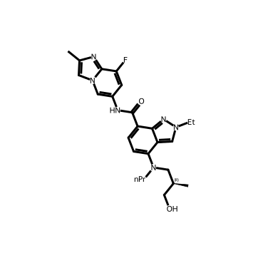 CCCN(C[C@@H](C)CO)c1ccc(C(=O)Nc2cc(F)c3nc(C)cn3c2)c2nn(CC)cc12